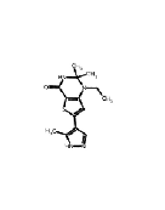 CCN1c2cc(-c3cn[nH]c3C)sc2C(=O)NC1(C)C